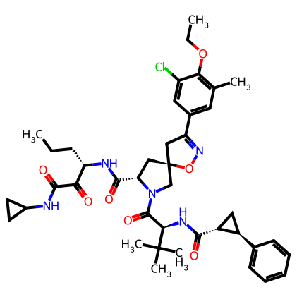 CCC[C@H](NC(=O)[C@@H]1C[C@]2(CC(c3cc(C)c(OCC)c(Cl)c3)=NO2)CN1C(=O)[C@@H](NC(=O)[C@@H]1C[C@H]1c1ccccc1)C(C)(C)C)C(=O)C(=O)NC1CC1